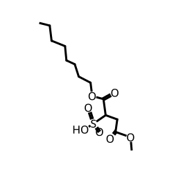 CCCCCCCCOC(=O)C(CC(=O)OC)S(=O)(=O)O